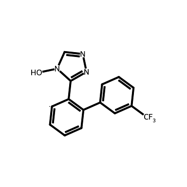 On1cnnc1-c1[c]cccc1-c1cccc(C(F)(F)F)c1